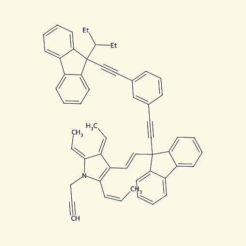 C#CCn1c(/C=C\C)c(/C=C/C2(C#Cc3cccc(C#CC4(C(CC)CC)c5ccccc5-c5ccccc54)c3)c3ccccc3-c3ccccc32)c(=C/C)/c1=C\C